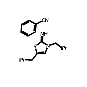 CC(C)Cc1cn(CC(C)C)c(=N)s1.N#Cc1ccccc1